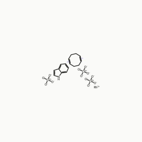 C1=C\CC/C=C\CC/1.[O-][Cl+3]([O-])([O-])[O-].[O-][Cl+3]([O-])([O-])[O-].[O-][Cl+3]([O-])([O-])[O-].[Rh+3].c1ccc2[nH]ccc2c1